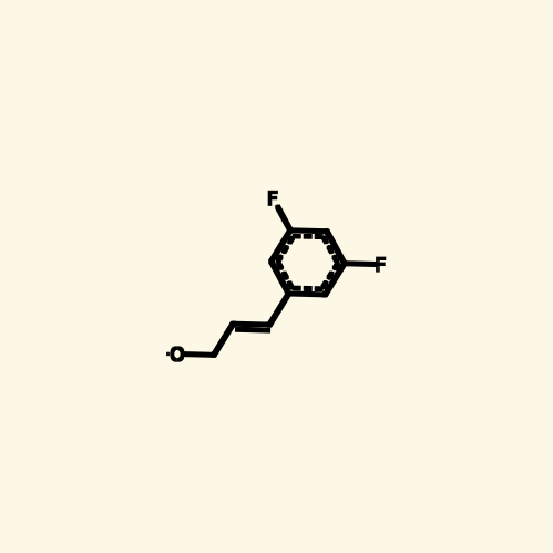 [O]CC=Cc1cc(F)cc(F)c1